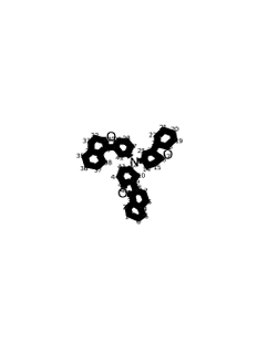 c1ccc2c(c1)ccc1c3cc(N(c4ccc5oc6ccccc6c5c4)c4ccc5oc6ccc7ccccc7c6c5c4)ccc3oc21